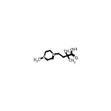 CN1CCN(CCC(C)(C)C(=O)O)CC1